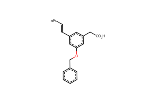 CCCC=Cc1cc(CC(=O)O)cc(OCc2ccccc2)c1